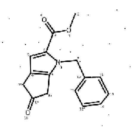 COC(=O)c1cc2c(n1Cc1ccccc1)CC(=O)C2